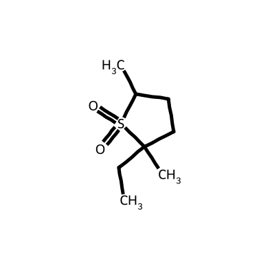 CCC1(C)CCC(C)S1(=O)=O